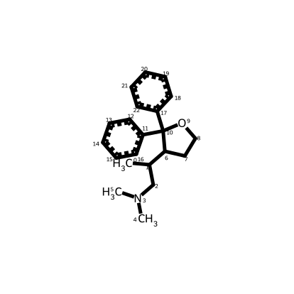 CC(CN(C)C)C1CCOC1(c1ccccc1)c1ccccc1